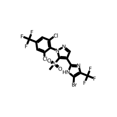 CS(=O)(=O)c1c(-c2nc(C(F)(F)F)c(Br)[nH]2)cnn1-c1c(Cl)cc(C(F)(F)F)cc1Cl